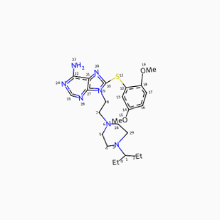 CCC(CC)N1CCN(CCn2c(Sc3cc(OC)ccc3OC)nc3c(N)ncnc32)CC1